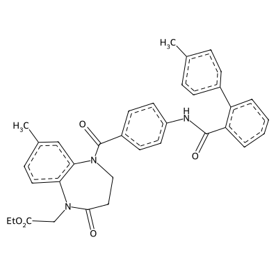 CCOC(=O)CN1C(=O)CCN(C(=O)c2ccc(NC(=O)c3ccccc3-c3ccc(C)cc3)cc2)c2cc(C)ccc21